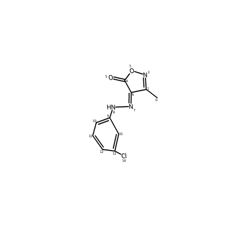 CC1=NOC(=O)C1=NNc1cccc(Cl)c1